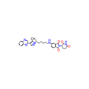 Cc1c(-c2cnc3ccccc3n2)cnn1CCCCCCNc1ccc2c(c1)C(=O)N(C1CCC(=O)NC1=O)C2=O